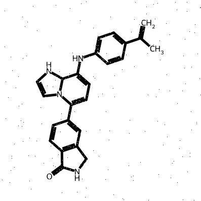 C=C(C)c1ccc(NC2=CC=C(c3ccc4c(c3)CNC4=O)N3C=CNC23)cc1